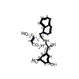 C[C@H](Cc1cccc2ccccc12)NC[C@@H](O)c1cc(O)cc(O)c1.O=C(O)/C=C/C(=O)O